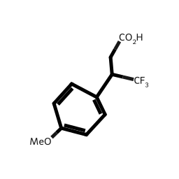 COc1ccc(C(CC(=O)O)C(F)(F)F)cc1